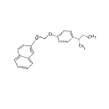 CCC(C)c1ccc(OCOc2ccc3ccccc3c2)cc1